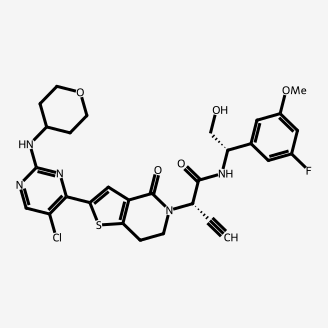 C#C[C@@H](C(=O)N[C@H](CO)c1cc(F)cc(OC)c1)N1CCc2sc(-c3nc(NC4CCOCC4)ncc3Cl)cc2C1=O